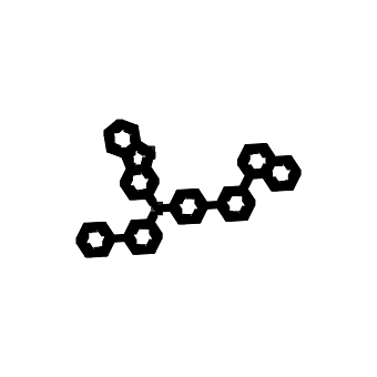 c1ccc(-c2cccc(N(c3ccc(-c4cccc(-c5cccc6ccccc56)c4)cc3)c3ccc4c(c3)sc3ccccc34)c2)cc1